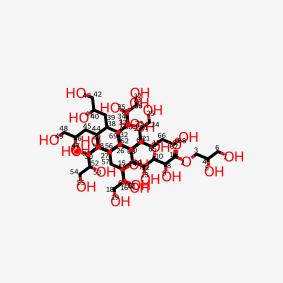 O=C(OCC(O)CO)C(O)C(O)C(O)C(CC(O)CO)C(CC(O)CO)C(CC(O)CO)C(CC(O)CO)C(CC(O)CO)C(CC(O)CO)C(CC(O)CO)C(CC(O)CO)C(CCCCCO)CC(O)CO